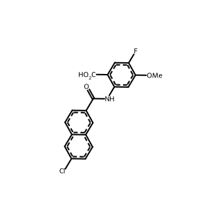 COc1cc(NC(=O)c2ccc3cc(Cl)ccc3c2)c(C(=O)O)cc1F